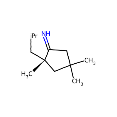 CC(C)C[C@@]1(C)CC(C)(C)CC1=N